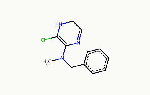 CN(Cc1ccccc1)C1=C(Cl)NCC=N1